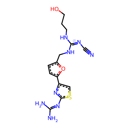 N#C/N=C(/NCCCO)NCc1ccc(-c2csc(N=C(N)N)n2)o1